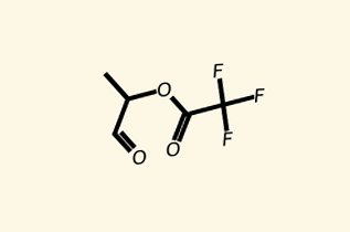 CC(C=O)OC(=O)C(F)(F)F